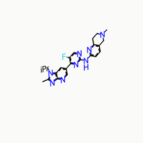 Cc1nc2ncc(-c3nc(Nc4ccc5c(n4)CCN(C)C5)ncc3F)cc2n1C(C)C